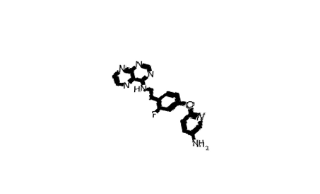 Nc1ccc(Oc2ccc(CCNc3ncnc4nccnc34)c(F)c2)nc1